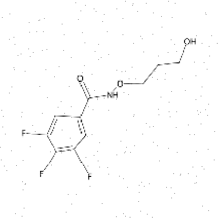 O=C(NOCCCO)c1cc(F)c(F)c(F)c1